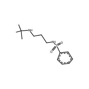 CC(C)(C)NCCCNS(=O)(=O)c1ccccc1